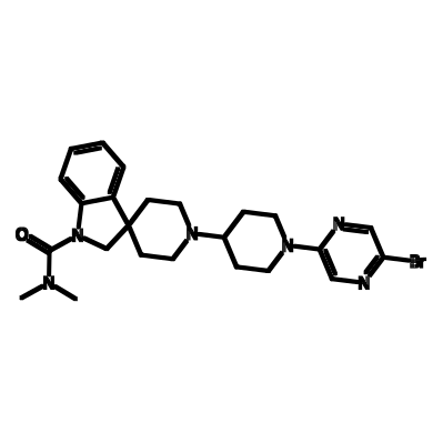 CN(C)C(=O)N1CC2(CCN(C3CCN(c4cnc(Br)cn4)CC3)CC2)c2ccccc21